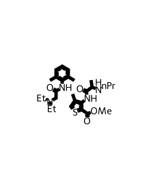 CCCNC(C)C(=O)Nc1c(C)csc1C(=O)OC.CCN(CC)CC(=O)Nc1c(C)cccc1C